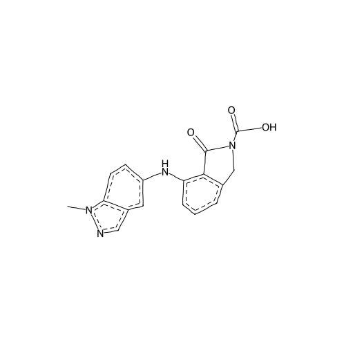 Cn1ncc2cc(Nc3cccc4c3C(=O)N(C(=O)O)C4)ccc21